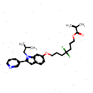 C=C(C)C(=O)OCCCC(F)(F)CCCOc1ccc2cc(-c3cccnc3)n(CC(C)C)c2c1